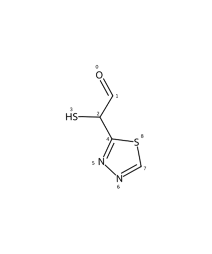 O=CC(S)c1nncs1